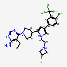 CCc1c(N)ncnc1N1CCC(c2cc(-c3ccc(F)c(C(F)(F)F)c3)cn2CCN2CC(F)C2)CC1